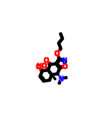 CCCCOc1noc2c1C(=O)[C@@]1(O)C(=O)C=CC[C@@]1(C)[C@H]2N(C)C